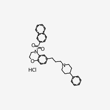 Cl.O=S(=O)(c1ccc2ccccc2c1)N1CCOc2ccc(CCCN3CCC(c4ccccc4)CC3)cc21